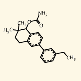 CCc1cccc(-c2ccc3c(c2)CCC(C)(C)C3OC(N)=O)c1